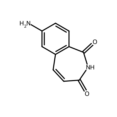 Nc1ccc2c(=O)[nH]c(=O)ccc2c1